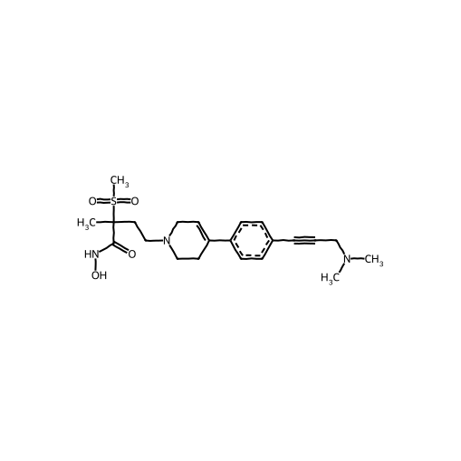 CN(C)CC#Cc1ccc(C2=CCN(CCC(C)(C(=O)NO)S(C)(=O)=O)CC2)cc1